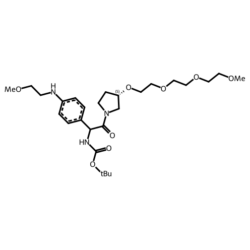 COCCNc1ccc(C(NC(=O)OC(C)(C)C)C(=O)N2CC[C@H](OCCOCCOCCOC)C2)cc1